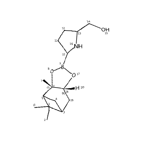 CC1(C)C2CC1[C@]1(C)OB(C3CCC(CO)N3)O[C@@H]1C2